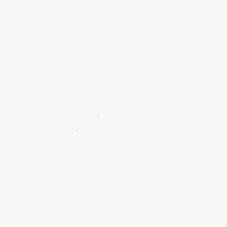 Cc1ccccc1[CH]c1ccccc1